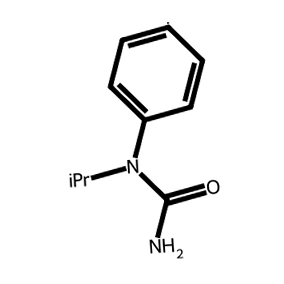 CC(C)N(C(N)=O)c1cc[c]cc1